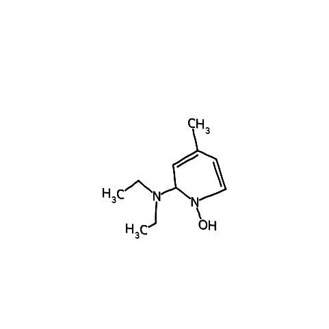 CCN(CC)C1C=C(C)C=CN1O